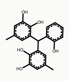 Cc1cc(O)c(O)c(C(c2ccccc2O)c2cc(C)cc(O)c2O)c1